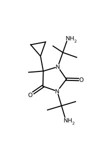 CC(C)(N)N1C(=O)N(C(C)(C)N)C(C)(C2CC2)C1=O